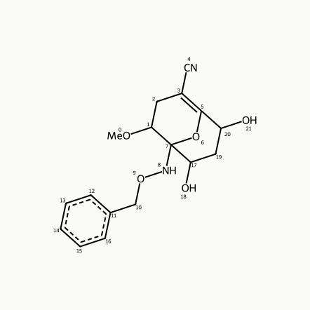 COC1CC(C#N)=C2OC1(NOCc1ccccc1)C(O)CC2O